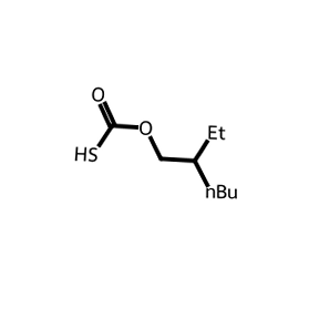 CCCCC(CC)COC(=O)S